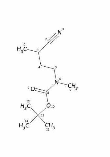 CC(C#N)CCN(C)C(=O)OC(C)(C)C